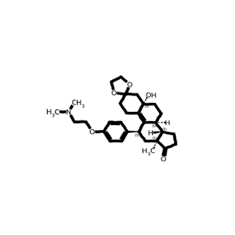 CN(C)CCOc1ccc([C@@H]2C[C@]3(C)C(=O)CC[C@H]3[C@@H]3CC[C@]4(O)CC5(CCC4=C23)OCCO5)cc1